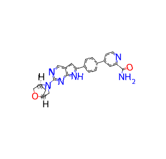 NC(=O)c1cc(-c2ccc(-c3cc4cnc(N5C[C@@H]6C[C@H]5CO6)nc4[nH]3)cc2)ccn1